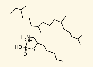 CCC(C)CCCC(C)CCCC(C)CCCC(C)C.CCCCCC(CN)OP(=O)(O)O